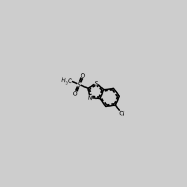 CS(=O)(=O)c1nc2cc(Cl)ccc2s1